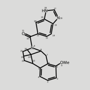 COc1cccc2c1CC1N(C(=O)c3ccc4nc[nH]c4c3)CCC2C1(C)C